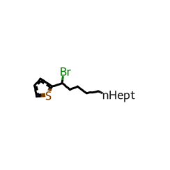 CCCCCCCCCCCC(Br)c1cccs1